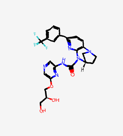 O=C(Nc1cncc(OC[C@@H](O)CO)n1)N1c2nc(-c3cccc(C(F)(F)F)c3)ccc2N2CC[C@H]1C2